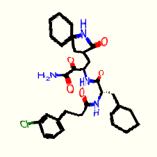 NC(=O)C(=O)C(CC1CC2(CCCCC2)NC1=O)NC(=O)[C@H](CC1CCCCC1)NC(=O)CCc1cccc(Cl)c1